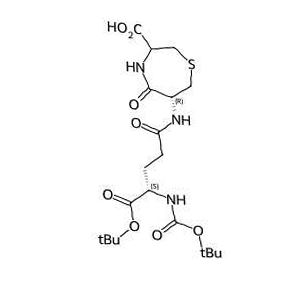 CC(C)(C)OC(=O)N[C@@H](CCC(=O)N[C@H]1CSCC(C(=O)O)NC1=O)C(=O)OC(C)(C)C